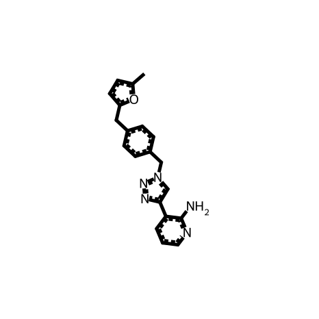 Cc1ccc(Cc2ccc(Cn3cc(-c4cccnc4N)nn3)cc2)o1